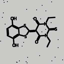 CCN1C(=O)C(=C2Sc3c(O)ccc(O)c3S2)C(=O)N(CC)C1=S